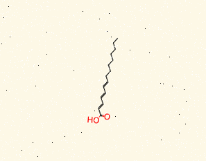 CCCCCCCC/C=C/C=C/C=C/C(=O)O